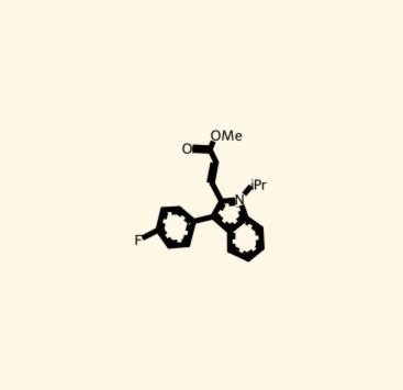 COC(=O)C=Cc1c(-c2ccc(F)cc2)c2ccccc2n1C(C)C